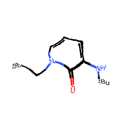 CC(C)(C)Cn1cccc(NC(C)(C)C)c1=O